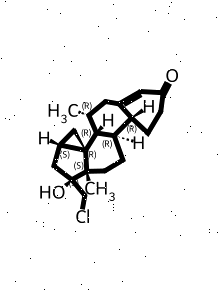 C[C@@H]1CC2=CC(=O)CC[C@@H]2[C@H]2CC[C@]3(C)[C@](O)(CCl)C[C@@H]4C[C@]43[C@@H]21